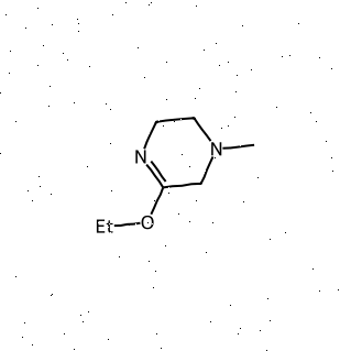 CCOC1=NCCN(C)C1